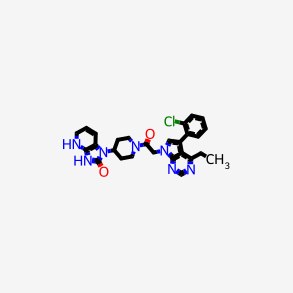 CCc1ncnc2c1c(-c1ccccc1Cl)cn2CC(=O)N1CCC(n2c3c([nH]c2=O)NCC=C3)CC1